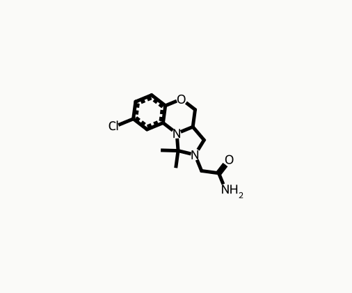 CC1(C)N(CC(N)=O)CC2COc3ccc(Cl)cc3N21